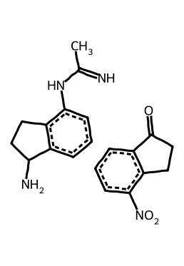 CC(=N)Nc1cccc2c1CCC2N.O=C1CCc2c1cccc2[N+](=O)[O-]